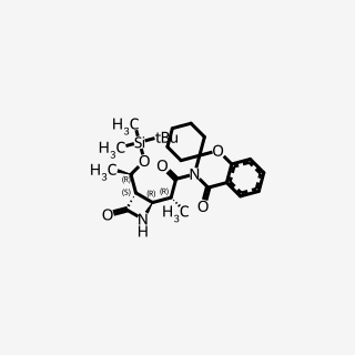 C[C@@H](O[Si](C)(C)C(C)(C)C)[C@H]1C(=O)N[C@@H]1[C@@H](C)C(=O)N1C(=O)c2ccccc2OC12CCCCC2